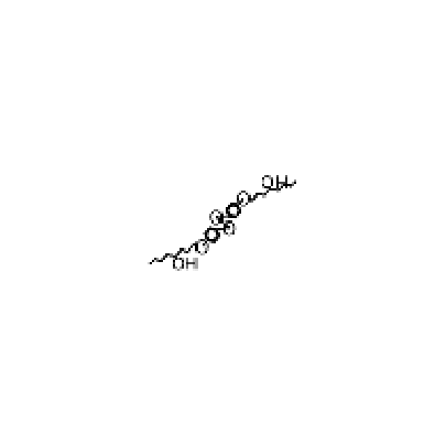 CCCCC(O)CCCOc1ccc(S(=O)(=O)c2ccc(OCCCC(O)CCCC)cc2)cc1